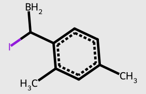 BC(I)c1ccc(C)cc1C